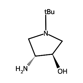 CC(C)(C)N1C[C@@H](N)[C@H](O)C1